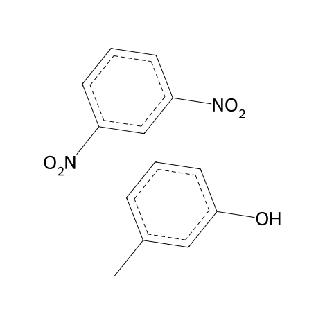 Cc1cccc(O)c1.O=[N+]([O-])c1cccc([N+](=O)[O-])c1